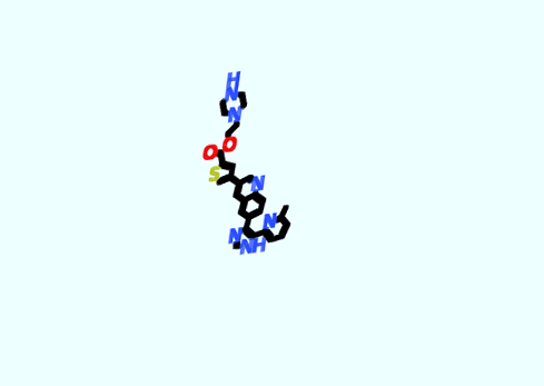 Cc1cccc(-c2[nH]cnc2-c2ccc3ncc(-c4csc(C(=O)OCCN5CCNCC5)c4)cc3c2)n1